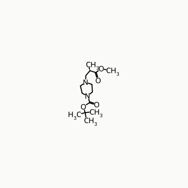 COC(=O)[C@H](C)CN1CCN(C(=O)OC(C)(C)C)CC1